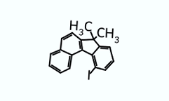 CC1(C)c2cccc(I)c2-c2c1ccc1ccccc21